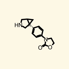 O=C1OCCN1c1ccc([C@]23CNCC2C3)cc1